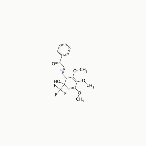 COC1=CC(O)(C(F)(F)F)C(/C=C/C(=O)c2ccccc2)C(OC)=C1OC